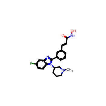 CN1CCCC(n2c(-c3cccc(C=CC(=O)NO)c3)nc3cc(F)ccc32)C1